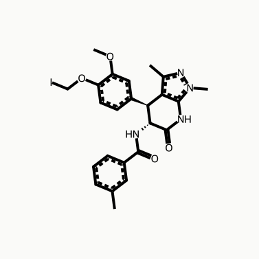 COc1cc([C@H]2c3c(C)nn(C)c3NC(=O)[C@@H]2NC(=O)c2cccc(C)c2)ccc1OCI